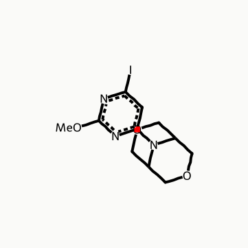 COc1nc(I)cc(N2C3COCC2COC3)n1